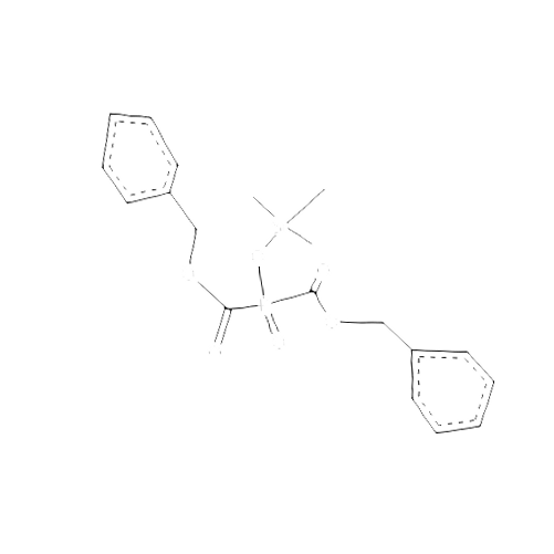 C[Si](C)(C)OP(=O)(C(=O)OCc1ccccc1)C(=O)OCc1ccccc1